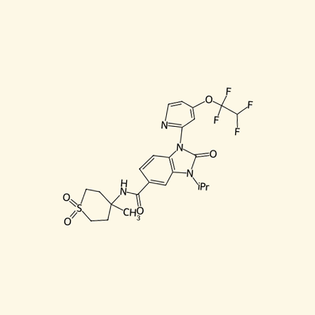 CC(C)n1c(=O)n(-c2cc(OC(F)(F)C(F)F)ccn2)c2ccc(C(=O)NC3(C)CCS(=O)(=O)CC3)cc21